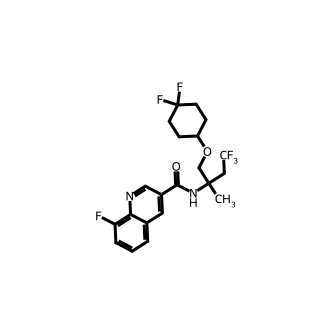 CC(COC1CCC(F)(F)CC1)(CC(F)(F)F)NC(=O)c1cnc2c(F)cccc2c1